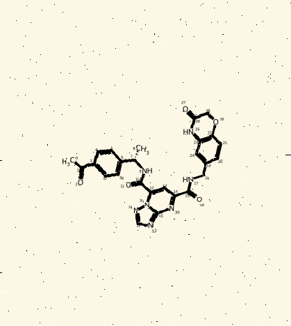 CC(=O)c1ccc([C@H](C)NC(=O)c2cc(C(=O)NCc3ccc4c(c3)NC(=O)CO4)nc3ncnn23)cc1